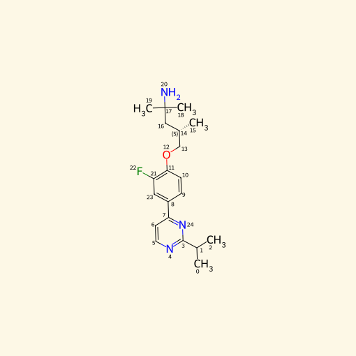 CC(C)c1nccc(-c2ccc(OC[C@@H](C)CC(C)(C)N)c(F)c2)n1